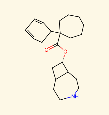 O=C(O[C@H]1CC2CCNCCC21)C1(C2C=CC=CC2)CCCCCC1